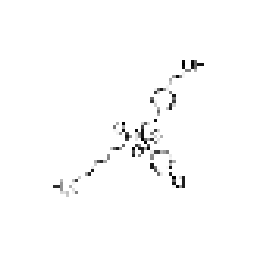 CCCCCCCC(=O)N(CCc1ccc(CCO)cc1)S(=O)(=O)c1ccc(Cl)cc1